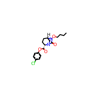 CCCCON1C(=O)N2C[C@@H]1CC[C@H]2C(=O)Oc1ccc(Cl)cc1